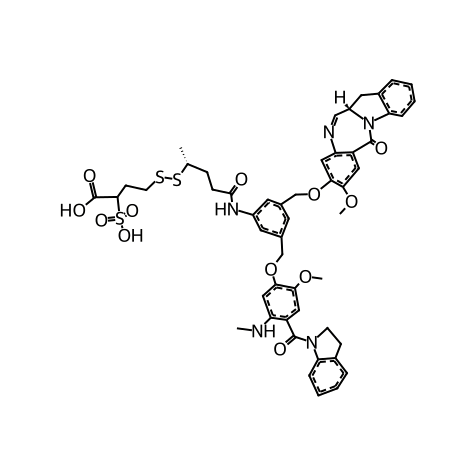 CNc1cc(OCc2cc(COc3cc4c(cc3OC)C(=O)N3c5ccccc5C[C@H]3C=N4)cc(NC(=O)CC[C@@H](C)SSCCC(C(=O)O)S(=O)(=O)O)c2)c(OC)cc1C(=O)N1CCc2ccccc21